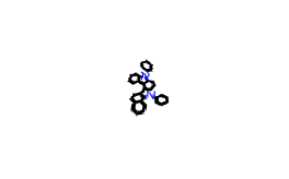 c1ccc(-n2c3ccccc3c3c4c5ccc6ccccc6c5n(-c5ccccc5)c4ccc32)cc1